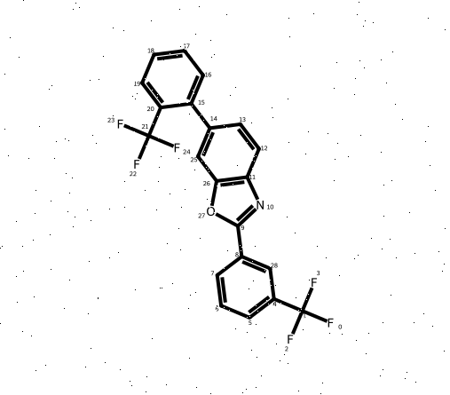 FC(F)(F)c1cccc(-c2nc3ccc(-c4ccccc4C(F)(F)F)cc3o2)c1